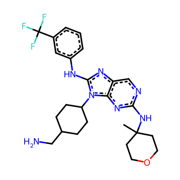 CC1(Nc2ncc3nc(Nc4cccc(C(F)(F)F)c4)n(C4CCC(CN)CC4)c3n2)CCOCC1